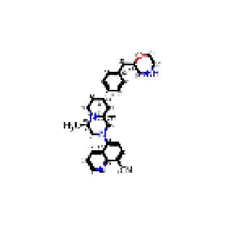 C[C@@H]1CN(c2ccc(C#N)c3ncccc23)C[C@@H]2C[C@@H](c3ccc(CC4CNCCO4)cc3)CCN21